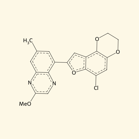 COc1cnc2c(-c3cc4c5c(cc(Cl)c4o3)OCCO5)cc(C)cc2n1